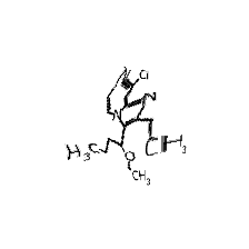 CCCC(OCC)c1c(CC)nc2c(Cl)nccn12